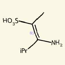 C/C(=C(\N)C(C)C)S(=O)(=O)O